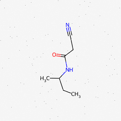 CCC(C)NC(=O)CC#N